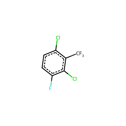 Fc1ccc(Cl)c(C(F)(F)F)c1Cl